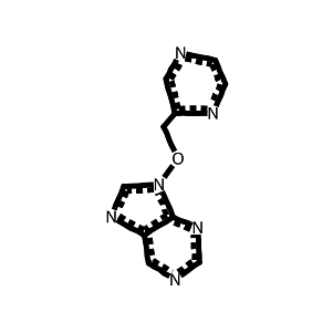 c1cnc(COn2cnc3cncnc32)cn1